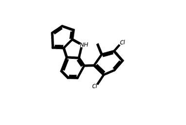 Cc1c(Cl)ccc(Cl)c1-c1cccc2c1[nH]c1ccccc12